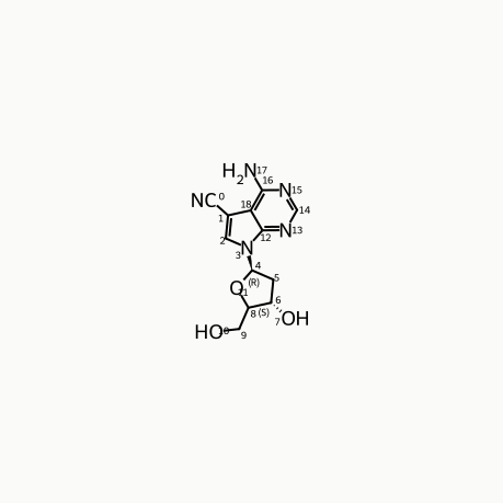 N#Cc1cn([C@H]2C[C@H](O)C(CO)O2)c2ncnc(N)c12